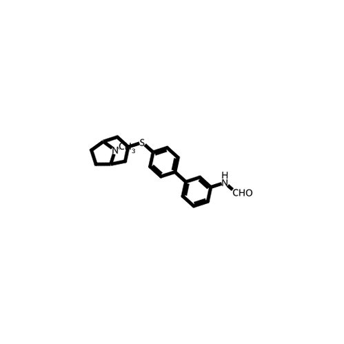 CN1C2CCC1CC(Sc1ccc(-c3cccc(NC=O)c3)cc1)C2